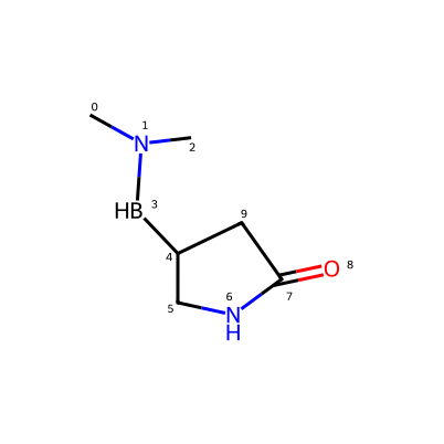 CN(C)BC1CNC(=O)C1